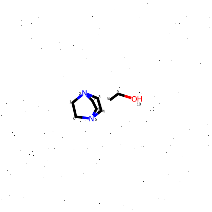 C1CN2CCN1CC2.CCO